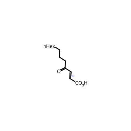 CCCCCCCCCC(=O)/C=C/C(=O)O